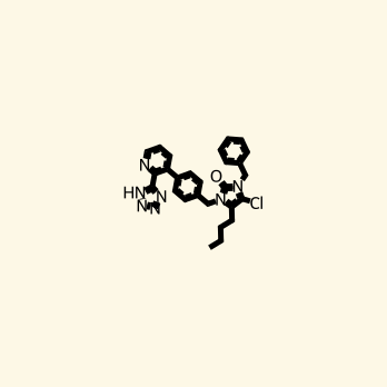 CCCCc1c(Cl)n(Cc2ccccc2)c(=O)n1Cc1ccc(-c2cccnc2-c2nnn[nH]2)cc1